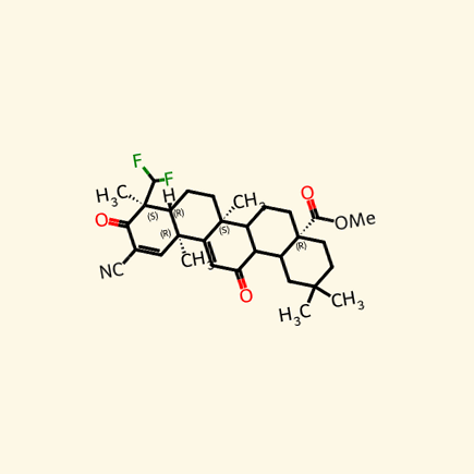 COC(=O)[C@@]12CCC3C(C(=O)C=C4[C@@]3(C)CC[C@H]3[C@](C)(C(F)F)C(=O)C(C#N)=C[C@]43C)C1CC(C)(C)CC2